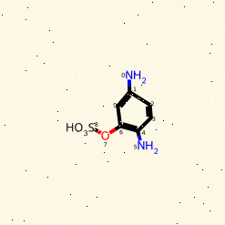 Nc1ccc(N)c(OS(=O)(=O)O)c1